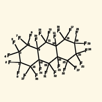 FC1(F)C(F)(F)C(F)(F)C2(F)C(F)(F)C3(F)C(F)(F)C(F)(F)C(F)(F)C(F)(F)C3(F)C(F)(F)C2(F)C1(F)F